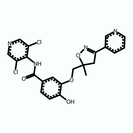 CC1(COc2cc(C(=O)Nc3c(Cl)cncc3Cl)ccc2O)CC(c2cccnc2)=NO1